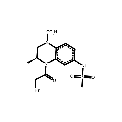 CC(C)CC(=O)N1c2cc(NS(C)(=O)=O)ccc2N(C(=O)O)C[C@@H]1C